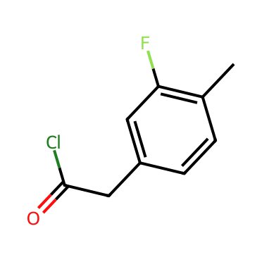 Cc1ccc(CC(=O)Cl)cc1F